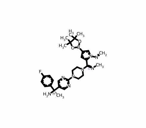 C=Nn1cc(B2OC(C)(C)C(C)(C)O2)cc1/C(=N\C)N1CCN(c2ncc([C@@](C)(N)c3ccc(F)cc3)cn2)CC1